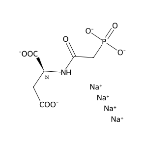 O=C([O-])C[C@H](NC(=O)CP(=O)([O-])[O-])C(=O)[O-].[Na+].[Na+].[Na+].[Na+]